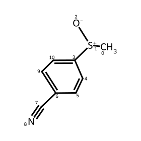 C[S+]([O-])c1ccc(C#N)cc1